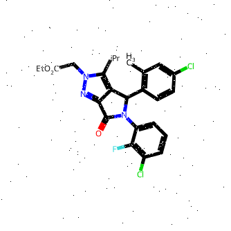 CCOC(=O)Cn1nc2c(c1C(C)C)C(c1ccc(Cl)cc1C)N(c1cccc(Cl)c1F)C2=O